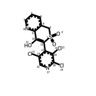 O=S1(=O)Cc2cccnc2C(O)=C1c1c(Cl)cnc(Cl)c1Cl